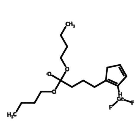 CCCCOC([O])(CCCC1=[C]([GeH]([F])[F])C=CC1)OCCCC